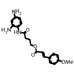 COc1ccc(/C=C/C(=O)OCCCC(=O)Nc2ccc(N)cc2N)cc1